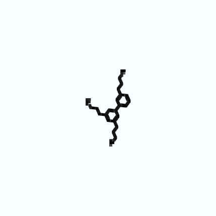 FCCCc1cccc(-c2cc(CCCF)cc(CCCF)c2)c1